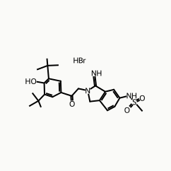 Br.CC(C)(C)c1cc(C(=O)CN2Cc3ccc(NS(C)(=O)=O)cc3C2=N)cc(C(C)(C)C)c1O